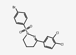 O=S(=O)(c1ccc(Br)cc1)N1CCCC(c2ccc(Cl)c(Cl)c2)=N1